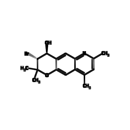 Cc1cc(C)c2cc3c(cc2n1)[C@H](O)[C@@H](Br)C(C)(C)O3